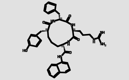 N=C(N)NCCC[C@@H]1NC(=O)[C@@H](Cc2ccccc2)NC(=O)[C@@H](Cc2ccc(O)cc2)CCC[C@@H](C(=O)Nc2cccc3ccccc23)NC1=O